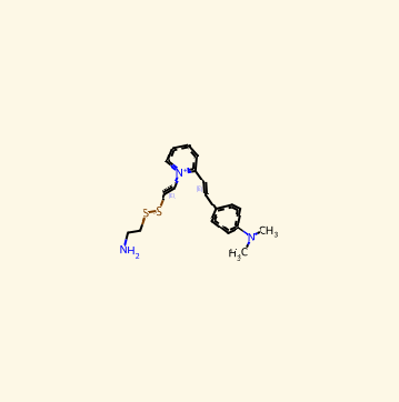 CN(C)c1ccc(/C=C/c2cccc[n+]2/C=C/SSCCN)cc1